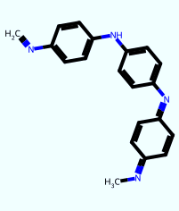 C=Nc1ccc(Nc2ccc(N=C3C=CC(=NC)C=C3)cc2)cc1